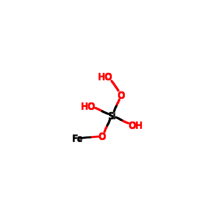 OO[Si](O)(O)[O][Fe]